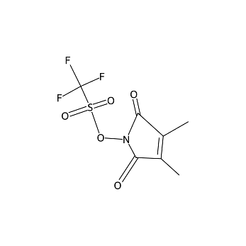 CC1=C(C)C(=O)N(OS(=O)(=O)C(F)(F)F)C1=O